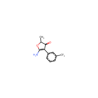 CC1OC(N)=C(c2cccc(C(F)(F)F)c2)C1=O